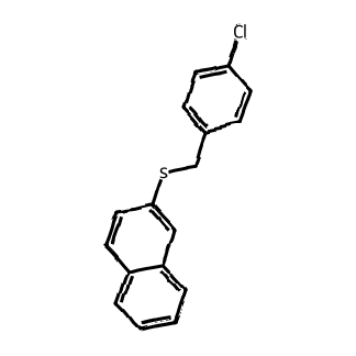 Clc1ccc(CSc2ccc3ccccc3c2)cc1